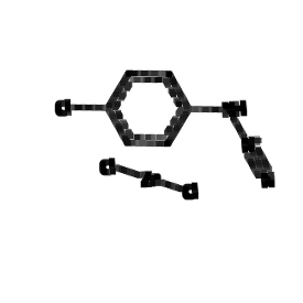 N#[N+]Nc1ccc(Cl)cc1.[Cl][Zn][Cl]